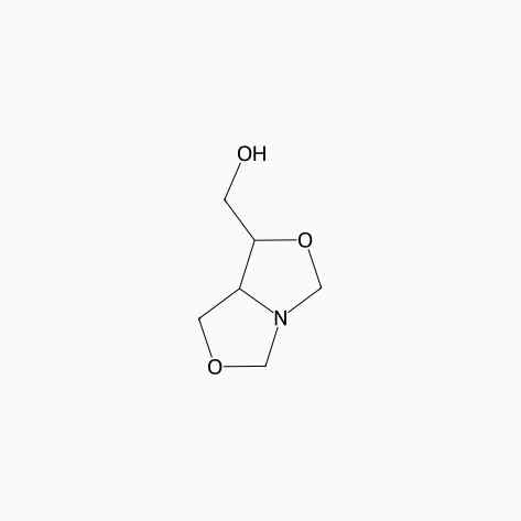 OCC1OCN2COCC12